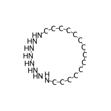 C1CCCCCCCNNNNNNNNCCCCCC1